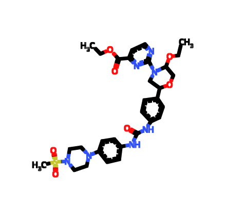 CCOC(=O)c1ccnc(N2CC(c3ccc(NC(=O)Nc4ccc(N5CCN(S(C)(=O)=O)CC5)cc4)cc3)OCC2OCC)n1